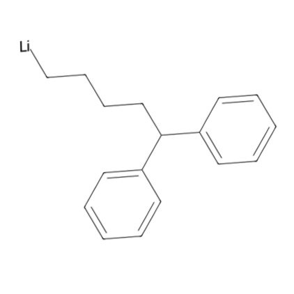 [Li][CH2]CCCC(c1ccccc1)c1ccccc1